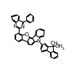 CC1(C)c2ccccc2-c2ccc(-n3c4ccccc4c4c5oc6c(-c7nc(-c8ccccc8)c8ccccc8n7)cccc6c5ccc43)cc21